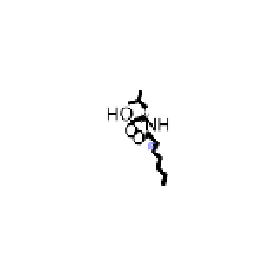 CCCC/C=C/C(=O)N[C@@H](CC(C)C)C(=O)O